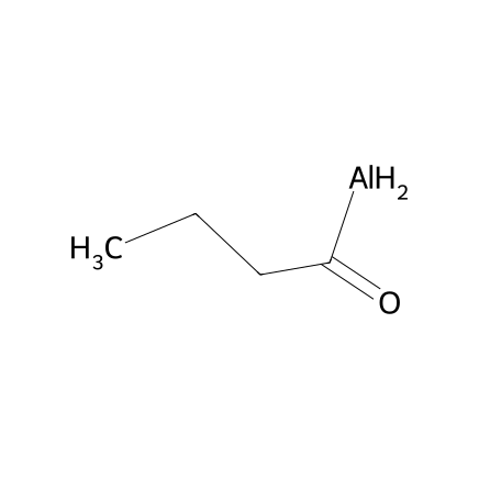 CCC[C](=O)[AlH2]